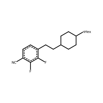 CCCCCCC1CCC(CCc2ccc(C#N)c(F)c2F)CC1